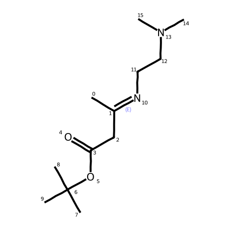 C/C(CC(=O)OC(C)(C)C)=N\CCN(C)C